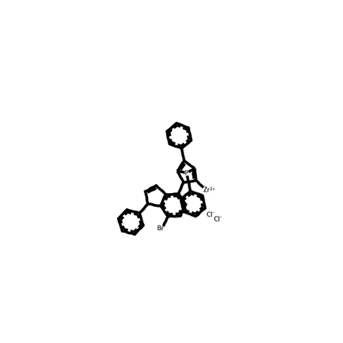 Brc1ccc(C2[C]([Zr+2])=C3C(c4ccccc4)=C2P3c2ccccc2)c2c1C(c1ccccc1)C=C2.[Cl-].[Cl-]